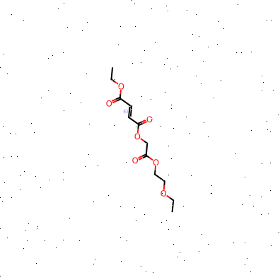 CCOCCOC(=O)COC(=O)/C=C/C(=O)OCC